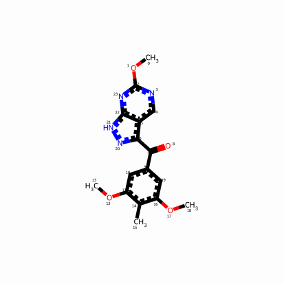 COc1ncc2c(C(=O)c3cc(OC)c(C)c(OC)c3)n[nH]c2n1